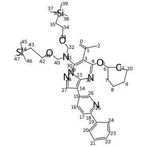 C=C(C)c1c(OC2CCCCC2)nc2c(-c3ccc(-c4ccccc4)nc3)cnn2c1N(COCC[Si](C)(C)C)COCC[Si](C)(C)C